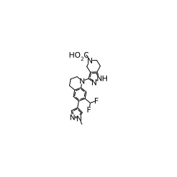 Cn1cc(-c2cc3c(cc2C(F)F)N(c2n[nH]c4c2CN(C(=O)O)CC4)CCC3)cn1